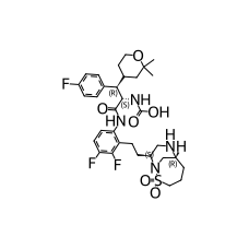 CC1(C)CC([C@H](c2ccc(F)cc2)[C@H](NC(=O)O)C(=O)Nc2ccc(F)c(F)c2CC[C@H]2CN[C@@H]3CCCS(=O)(=O)N2C3)CCO1